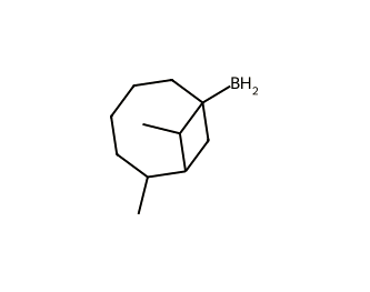 BC12CCCCC(C)C(C1)C2C